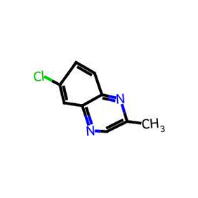 Cc1cnc2cc(Cl)ccc2n1